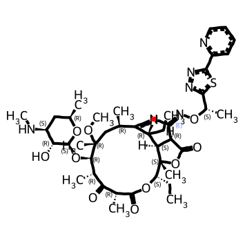 CC[C@@H]1OC(=O)[C@H](C)C(=O)[C@H](C)[C@@H](O[C@@H]2O[C@H](C)C[C@H](NC)[C@H]2O)[C@](C)(OC)C[C@@H](C)C2=N/C(=N/O[C@@H](C)c3nnc(-c4ccccn4)s3)[C@@H]3C(=O)O[C@@]1(C)[C@H]3[C@H]2CC